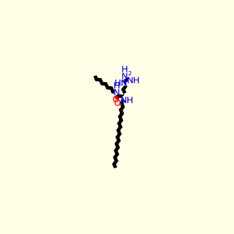 CCCCCCCCCCCCCCCCCCCC(=O)N[C@@H](CCCNC(=N)N)C(=O)NCCCCCCCC